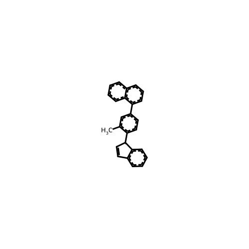 Cc1cc(-c2cccc3ccccc23)ccc1[C]1C=Cc2ccccc21